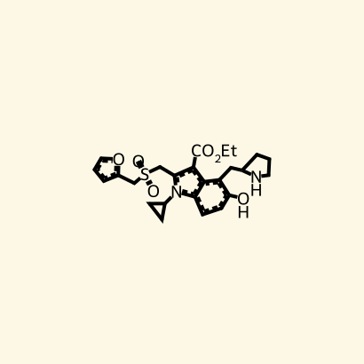 CCOC(=O)c1c(CS(=O)(=O)Cc2ccco2)n(C2CC2)c2ccc(O)c(CC3CCCN3)c12